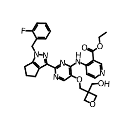 CCOC(=O)c1cnccc1Nc1nc(-c2nn(Cc3ccccc3F)c3c2CCC3)ncc1OCC1(CO)COC1